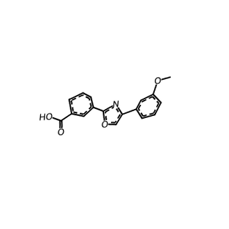 COc1cccc(-c2coc(-c3cccc(C(=O)O)c3)n2)c1